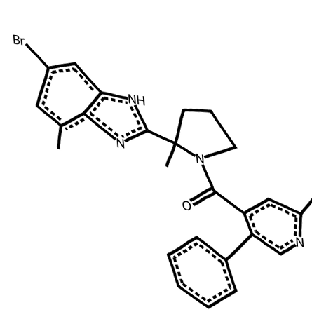 Cc1cc(C(=O)N2CCCC2(C)c2nc3c(C)cc(Br)cc3[nH]2)c(-c2ccccc2)cn1